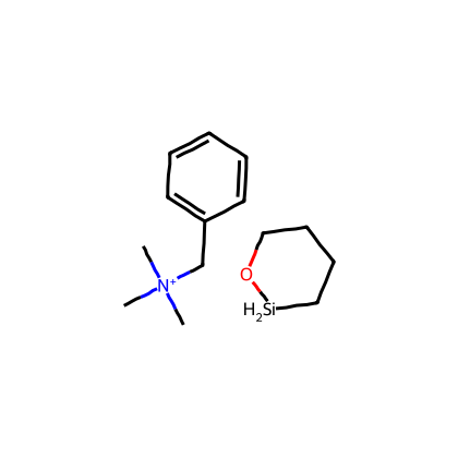 C1CC[SiH2]OC1.C[N+](C)(C)Cc1ccccc1